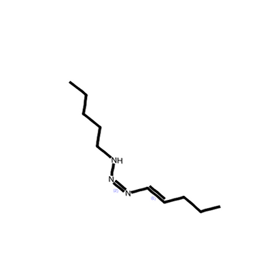 CCC/C=C/N=N\NCCCCC